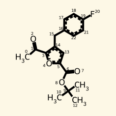 CC(=O)c1oc(C(=O)OC(C)(C)C)cc1Cc1ccc(F)cc1